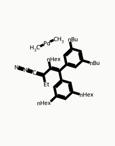 CCCCCCC(C(=C=[N+]=[N-])CC)=C(c1cc(CCCC)cc(CCCC)c1)c1cc(CCCCCC)cc(CCCCCC)c1.[CH3][Pd][CH3]